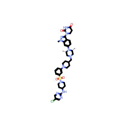 C[C@@H]1CN(CC2CCN(c3cccc(S(=O)(=O)N4CCC(Nc5ncc(Cl)cn5)CC4)c3)CC2)C[C@H](C)N1c1ccc2c(N3CCC(=O)NC3=O)nn(C)c2c1